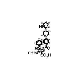 CCCCCCN(C(CNC(=O)c1ccc(N2CCN(C3=NCCCN3)CC2)cc1)C(=O)O)S(=O)(=O)c1ccccc1